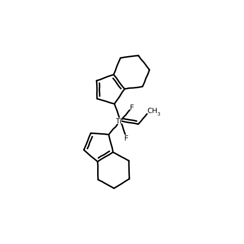 C[CH]=[Ti]([F])([F])([CH]1C=CC2=C1CCCC2)[CH]1C=CC2=C1CCCC2